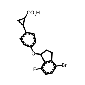 O=C(O)C1CC1c1ccc(OC2CCc3c(Br)ccc(F)c32)cc1